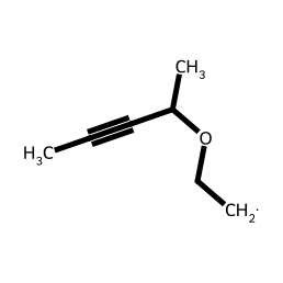 [CH2]COC(C)C#CC